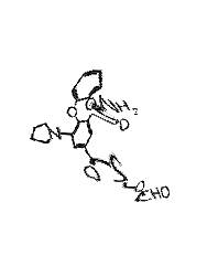 NS(=O)(=O)c1cc(C(=O)SCOC=O)cc(N2CCCC2)c1Oc1ccccc1